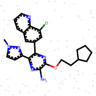 Cn1ccc(-c2nc(N)c(OCCC3CCCC3)nc2-c2cc(Cl)c3ncccc3c2)n1